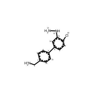 NCc1ccc(-c2ccc(Cl)c(NN)c2)cc1